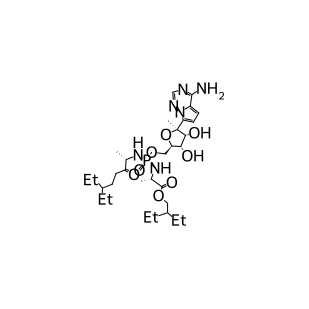 CCC(CC)CCC(=O)[C@H](C)NP(=O)(N[C@@H](C)C(=O)OCC(CC)CC)OC[C@H]1O[C@@](C)(c2ccc3c(N)ncnn23)[C@H](O)[C@@H]1O